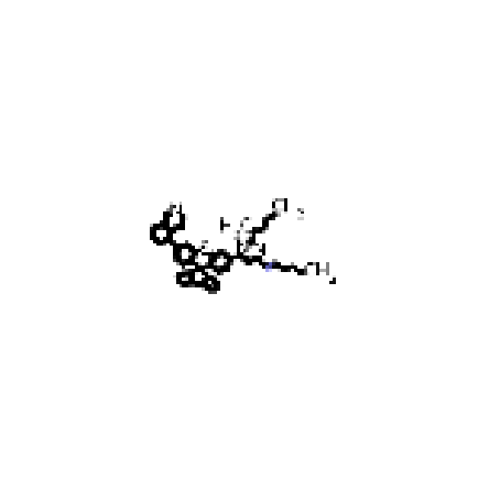 C=CCC/C=C/c1cc(-c2ccc3c(c2)Sc2cc(-c4cccc5cnccc45)ccc2C32c3ccccc3-c3ccccc32)nc(C(=C)CCC=C)n1